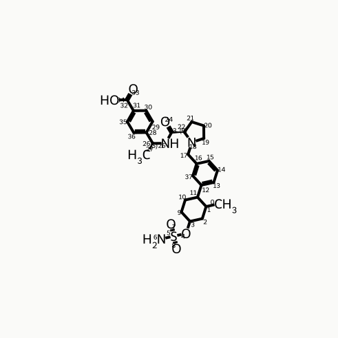 CC1CC(OS(N)(=O)=O)CCC1c1cccc(CN2CCC[C@@H]2C(=O)N[C@@H](C)c2ccc(C(=O)O)cc2)c1